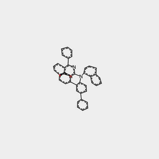 c1ccc(-c2ccc(N(c3nc(-c4ccccc4)c4ccccc4n3)c3cccc4ccccc34)c(-c3ccccc3)c2)cc1